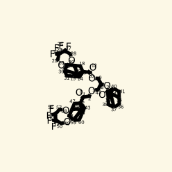 O=C(COC1OC2(OC1COC(=O)C13CC4CC(C1)C1(OCC(F)(F)C(F)(F)CO1)C(C4)C3)C1CC3CC(C1)CC2C3)C12CC3CC(C1)C1(OCC(F)(F)C(F)(F)CO1)C(C3)C2